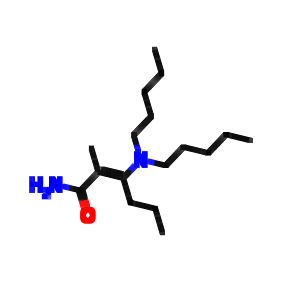 CCCCCN(CCCCC)/C(CCC)=C(\C)C(N)=O